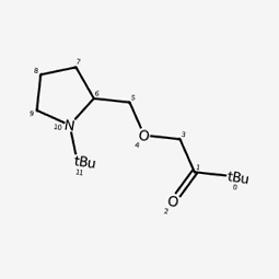 CC(C)(C)C(=O)COCC1CCCN1C(C)(C)C